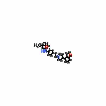 CC(C)=CC(=O)N[C@H]1CC[C@H](CCN2CCC(c3cccc4c3CCO4)CC2)CC1